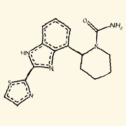 NC(=O)N1CCCCC1c1cccc2[nH]c(-c3nccs3)nc12